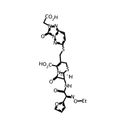 CCON=C(C(=O)NC1C(=O)N2C(C(=O)O)=C(CSc3ccc4nn(CC(=O)O)c(=O)n4n3)CS[C@@H]12)c1ccco1